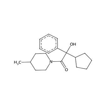 CC1CCN(C(=O)C(O)(c2ccccc2)C2CCCC2)CC1